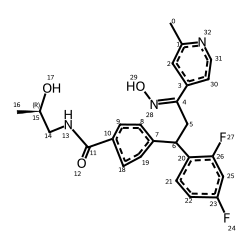 Cc1cc(C(CC(c2ccc(C(=O)NC[C@@H](C)O)cc2)c2ccc(F)cc2F)=NO)ccn1